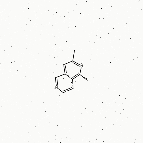 Cc1cc2cnccc2c(C)n1